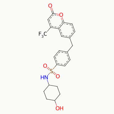 O=c1cc(C(F)(F)F)c2cc(Cc3ccc(S(=O)(=O)NC4CCC(O)CC4)cc3)ccc2o1